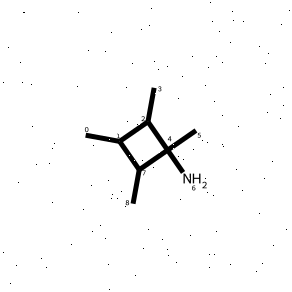 CC1C(C)C(C)(N)C1C